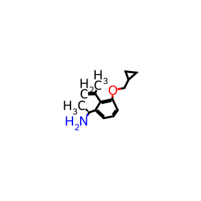 C=C(C)c1c(OCC2CC2)cccc1[C@H](C)N